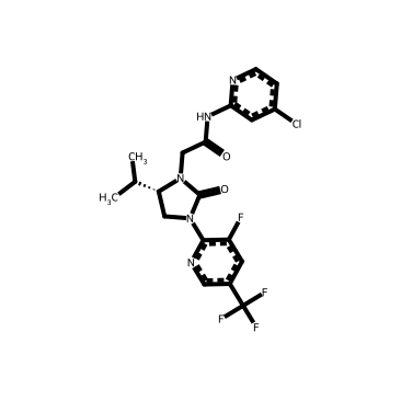 CC(C)[C@H]1CN(c2ncc(C(F)(F)F)cc2F)C(=O)N1CC(=O)Nc1cc(Cl)ccn1